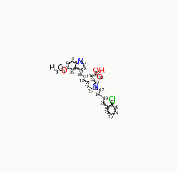 COc1ccc2nccc(CCC[C@@H]3CCN(CCCCc4ccccc4Cl)C[C@@H]3CC(=O)O)c2c1